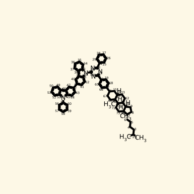 CC(C)CCCC[C@H]1CC[C@H]2[C@@H]3CC[C@H]4CC(c5ccc(-c6nc(-c7ccccc7)nc(-n7c8ccccc8c8cc(-c9ccc%10c(c9)c9ccccc9n%10-c9ccccc9)ccc87)n6)cc5)CC[C@]4(C)[C@H]3CC[C@]12C